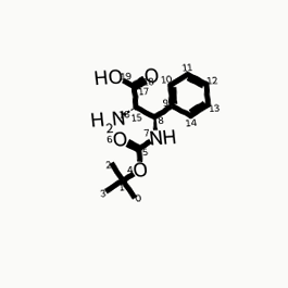 CC(C)(C)OC(=O)N[C@H](c1ccccc1)[C@H](N)C(=O)O